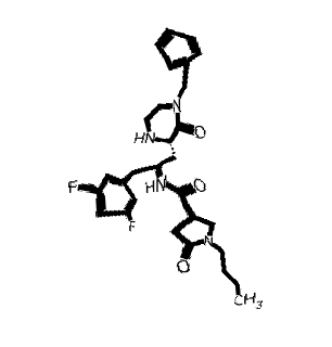 CCCCN1CC(C(=O)NC(Cc2cc(F)cc(F)c2)C[C@@H]2NCCN(Cc3ccccc3)C2=O)CC1=O